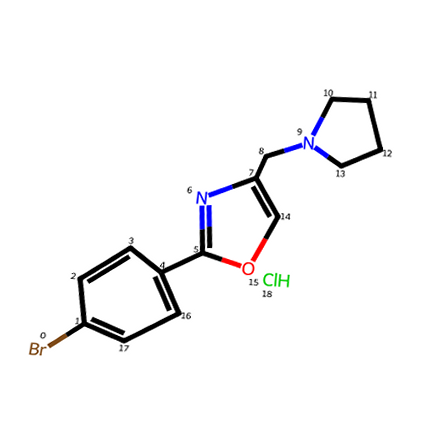 Brc1ccc(-c2nc(CN3CCCC3)co2)cc1.Cl